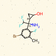 Cc1cc(Br)cc([C@](N)(C(F)F)[C@H]2CC2O)c1F